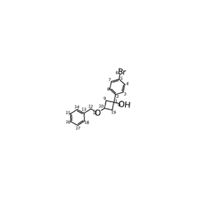 OC1(c2ccc(Br)cc2)CC(OCc2ccccc2)C1